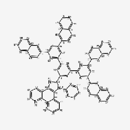 c1ccc(-n2c(-c3cc(-c4cc(-c5ccc6ccccc6c5)cc(-c5ccc6ccccc6c5)n4)cc(-c4cc(-c5ccc6ccccc6c5)cc(-c5ccc6ccccc6c5)n4)c3)nc3c4cccnc4c4ncccc4c32)cc1